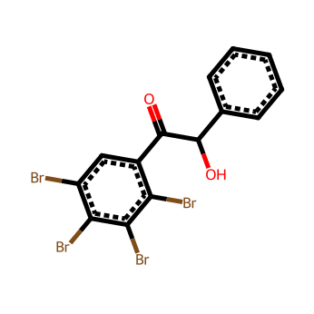 O=C(c1cc(Br)c(Br)c(Br)c1Br)C(O)c1ccccc1